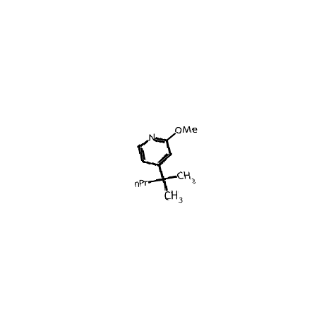 CCCC(C)(C)c1ccnc(OC)c1